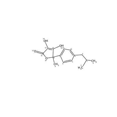 CC(C)Cc1ccc(C2(C)OC(=O)C(O)=C2O)cc1